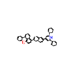 C1=CCC(c2cc(-c3ccc4cc(-c5ccc6c7c(cccc57)-c5ccccc5O6)ccc4c3)cc(-c3ccccc3)n2)C=C1